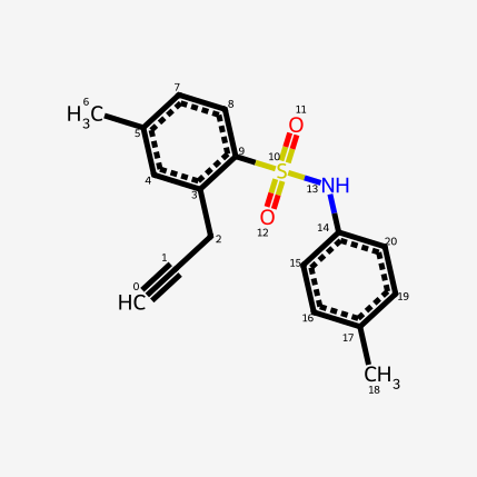 C#CCc1cc(C)ccc1S(=O)(=O)Nc1ccc(C)cc1